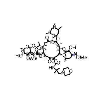 CO/N=C1\C[C@@H](C)O[C@@H](O[C@@H]2[C@@H](C)[C@H](O[C@H]3CC(C)N(C)C[C@H](C)O3)[C@@H](C)C(=O)O[C@H](C(C)CO[C@@H]3O[C@H](C)[C@@H](O)[C@@H](OC)[C@H]3OC)[C@H](C)[C@@H](OC(=O)CC(C)C)[C@@H](C)C(=O)[C@@](C)(OC(=O)NC(C)(C)CN3CCOCC3)C[C@@H]2C)[C@@H]1O